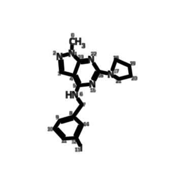 Cn1ncc2c(NCc3cccc(I)c3)nc(N3CCCC3)nc21